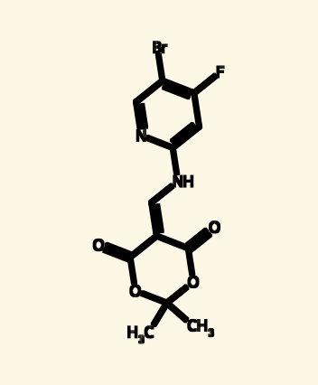 CC1(C)OC(=O)C(=CNc2cc(F)c(Br)cn2)C(=O)O1